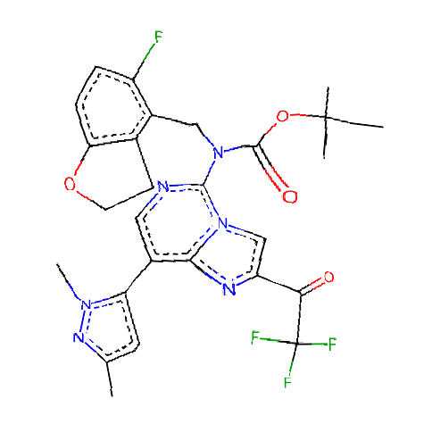 Cc1cc(-c2cnc(N(Cc3c(F)ccc4c3CCO4)C(=O)OC(C)(C)C)n3cc(C(=O)C(F)(F)F)nc23)n(C)n1